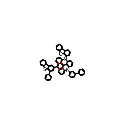 c1ccc(-c2cccc(N(c3ccccc3)c3cccc(N(c4ccccc4)c4cccc5c4oc4ccccc45)c3-c3ccc(-c4cc(-c5ccccc5)c5sc6ccccc6c5c4)cc3)c2)cc1